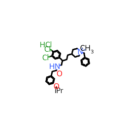 CC(C)Oc1cccc(CC(=O)NCC(CCC2CC[N+](C)(Cc3ccccc3)CC2)c2ccc(Cl)c(Cl)c2)c1.Cl